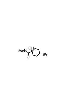 CNC(=O)[C@]1(O)CC[C@H](C(C)C)CC1